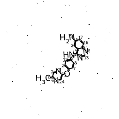 Cc1cnc(Oc2ccc(Nc3ncnc4ccc(N)cc34)cc2)cn1